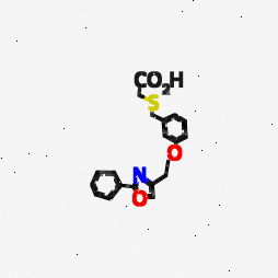 O=C(O)CSCc1cccc(OCCc2coc(-c3ccccc3)n2)c1